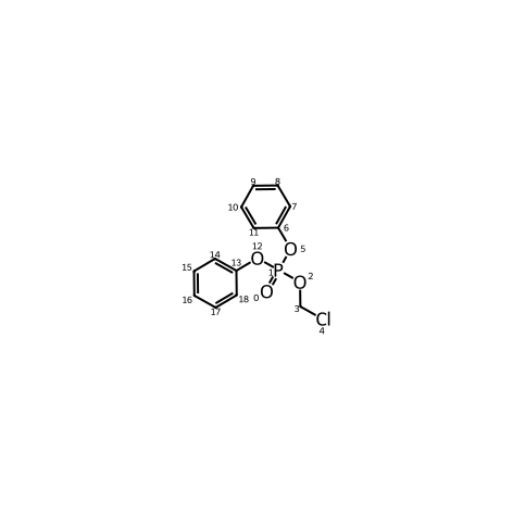 O=P(OCCl)(Oc1ccccc1)Oc1ccccc1